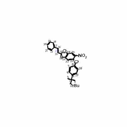 CC(C)(C)CC(C)(C)c1ccc(Oc2cc3nc(/C=C/c4ccccc4)oc3cc2[N+](=O)[O-])cc1